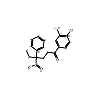 CCC(CCC(=O)c1ccc(Cl)c(Cl)c1)(c1ccccc1)[N+](=O)[O-]